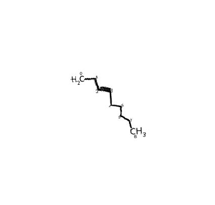 [CH2]CC=CCCCCC